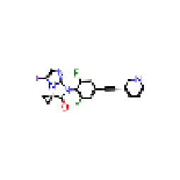 O=C1N(c2c(F)cc(C#Cc3cccnc3)cc2F)c2ncc(I)n2C12CC2